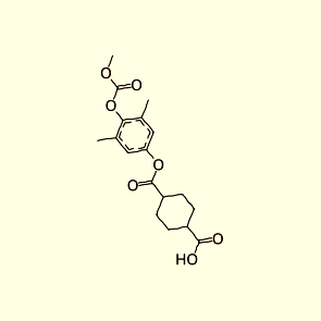 COC(=O)Oc1c(C)cc(OC(=O)C2CCC(C(=O)O)CC2)cc1C